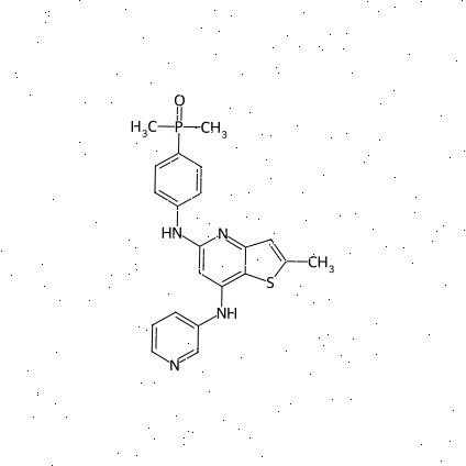 Cc1cc2nc(Nc3ccc(P(C)(C)=O)cc3)cc(Nc3cccnc3)c2s1